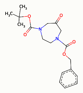 CC(C)(C)OC(=O)N1CCN(C(=O)OCc2ccccc2)CC(=O)C1